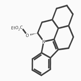 CCOC(=O)O[C@@H]1CC2CCCC3CCc4c(n1c1ccccc41)C32